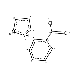 O=C(Cl)c1ccccc1.c1cn[nH]c1